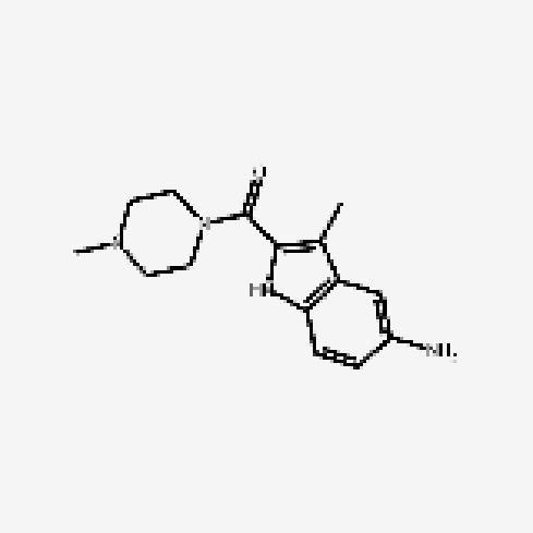 Cc1c(C(=O)N2CCN(C)CC2)[nH]c2ccc(N)cc12